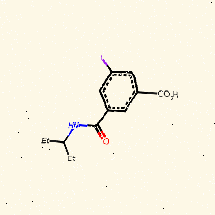 CCC(CC)NC(=O)c1cc(I)cc(C(=O)O)c1